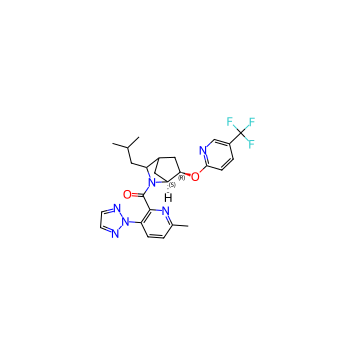 Cc1ccc(-n2nccn2)c(C(=O)N2C(CC(C)C)C3C[C@@H](Oc4ccc(C(F)(F)F)cn4)[C@@H]2C3)n1